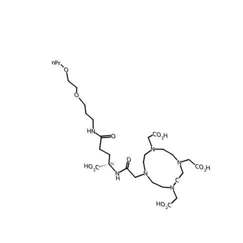 CCCOCCOCCCNC(=O)CC[C@H](NC(=O)CN1CCN(CC(=O)O)CCN(CC(=O)O)CCN(CC(=O)O)CC1)C(=O)O